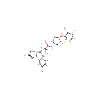 O=C(Nc1ccc(Oc2c(F)c(F)cc(F)c2F)cc1)N1CC(c2ccc(F)cc2)C(c2ccc(Cl)cc2)=N1